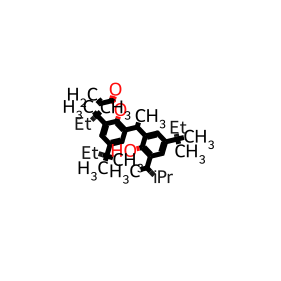 C=CC(=O)Oc1c(C(C)c2cc(C(C)(C)CC)cc(C(C)C(C)C)c2O)cc(C(C)(C)CC)cc1C(C)(C)CC